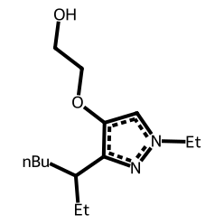 CCCCC(CC)c1nn(CC)cc1OCCO